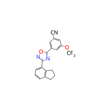 N#Cc1cc(OC(F)(F)F)cc(-c2nc(-c3cccc4c3CCC4)no2)c1